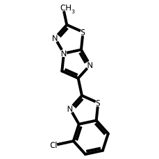 Cc1nn2cc(-c3nc4c(Cl)cccc4s3)nc2s1